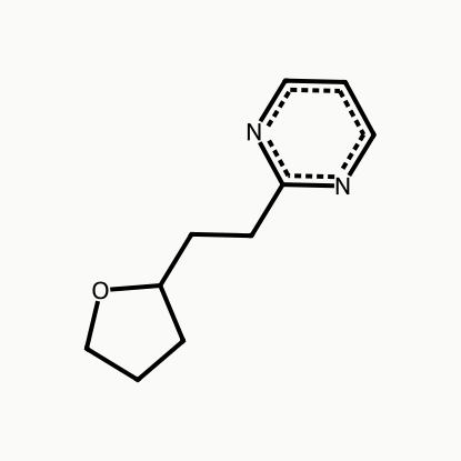 c1cnc(CCC2CCCO2)nc1